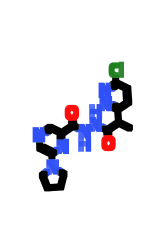 CC(C(=O)NNC(=O)c1cncc(N2CCCC2)n1)c1ccc(Cl)nn1